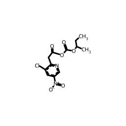 CCC(C)OC(=O)OC(=O)Cc1ncc([N+](=O)[O-])cc1Cl